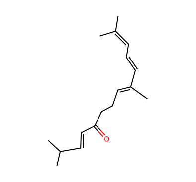 CC(C)=CC=CC(C)=CCCC(=O)C=CC(C)C